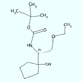 CCOC[C@@H](NC(=O)OC(C)(C)C)C1(O)CCCC1